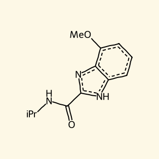 COc1cccc2[nH]c(C(=O)NC(C)C)nc12